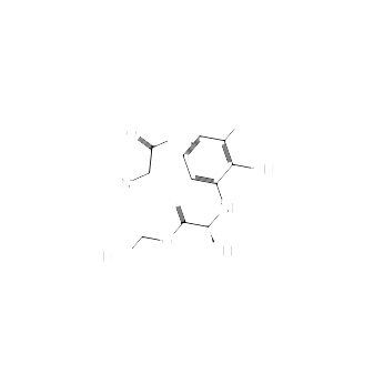 CCOC(=O)[C@H](C)Nc1cccc(C)c1C.NCC(=O)O